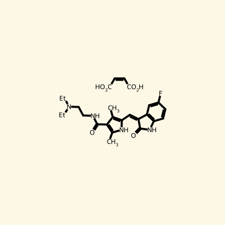 CCN(CC)CCNC(=O)c1c(C)[nH]c(/C=C2\C(=O)Nc3ccc(F)cc32)c1C.O=C(O)/C=C\C(=O)O